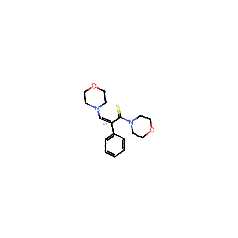 S=C(/C(=C\N1CCOCC1)c1ccccc1)N1CCOCC1